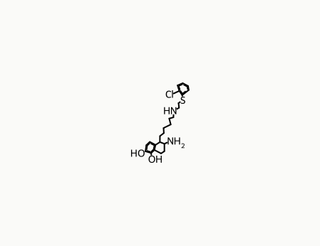 NC1CCc2c(ccc(O)c2O)C1CCCCCCNCCSc1ccccc1Cl